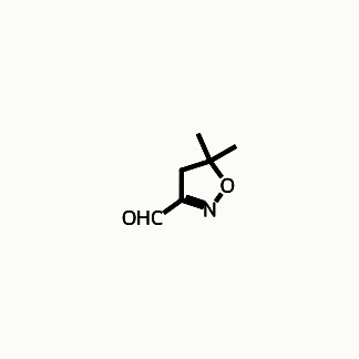 CC1(C)CC(C=O)=NO1